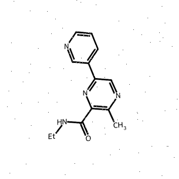 CCNC(=O)c1nc(-c2cccnc2)cnc1C